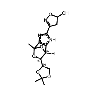 CC1(C)OC[C@H]([C@H]2OC3(C)O[C@@H]2c2[nH]c(C4=NOC(O)C4)nc23)O1